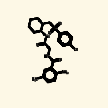 CCc1ccc(S(=O)(=O)C[C@@H]2CCCC[C@@H]2NC(=O)CNC(=O)c2cc(C(F)(F)F)ccc2N)cc1